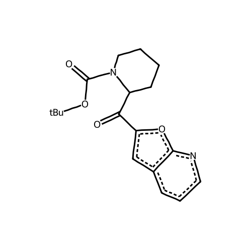 CC(C)(C)OC(=O)N1CCCCC1C(=O)c1cc2cccnc2o1